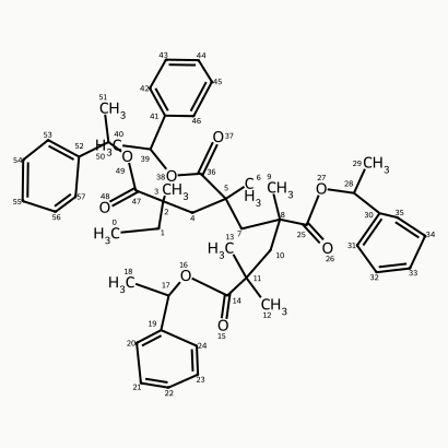 CCC(C)(CC(C)(CC(C)(CC(C)(C)C(=O)OC(C)c1ccccc1)C(=O)OC(C)c1ccccc1)C(=O)OC(C)c1ccccc1)C(=O)OC(C)c1ccccc1